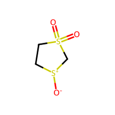 O=S1(=O)CC[S+]([O-])C1